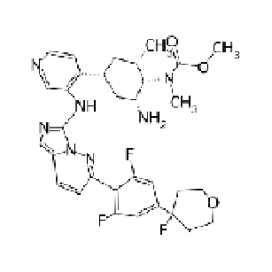 COC(=O)N(C)[C@@H]1[C@H](N)C[C@H](c2ccncc2Nc2ncc3ccc(-c4c(F)cc(C5(F)CCOCC5)cc4F)nn23)C[C@@H]1C